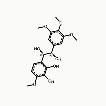 COc1ccc([C@@H](O)[C@H](O)c2cc(OC)c(OC)c(OC)c2)c(O)c1O